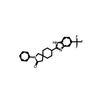 O=C1CC2(CCC(c3nc4cc(C(F)(F)F)ccc4[nH]3)CC2)CN1c1ccccc1